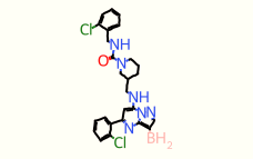 Bc1cnn2c(NCC3CCCN(C(=O)NCc4ccccc4Cl)C3)cc(-c3ccccc3Cl)nc12